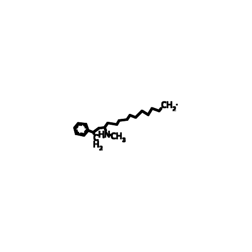 [CH2]CCCCCCCCCCC(CC([CH2])c1ccccc1)NC